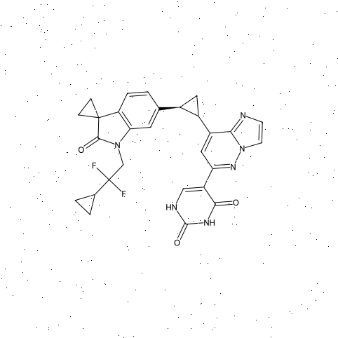 O=C1N(CC(F)(F)C2CC2)c2cc([C@H]3CC3c3cc(-c4c[nH]c(=O)[nH]c4=O)nn4ccnc34)ccc2C12CC2